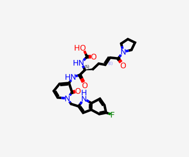 O=C(O)N[C@@H](CC/C=C/C(=O)N1CCCC1)C(=O)Nc1cccn(Cc2cc3cc(F)ccc3[nH]2)c1=O